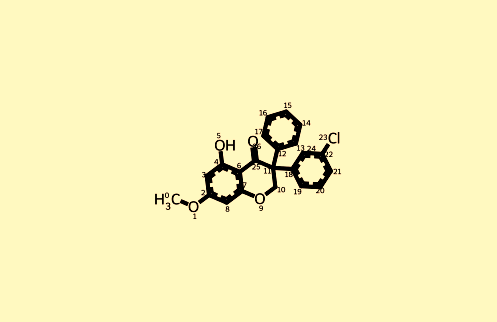 COc1cc(O)c2c(c1)OCC(c1ccccc1)(c1cccc(Cl)c1)C2=O